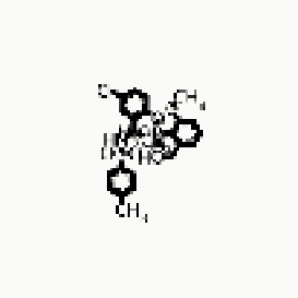 COc1cccc(CO)c1[P@@](C)(=O)Oc1ccc(Cl)cc1[C@@H](C)NS(=O)(=O)c1ccc(C)cc1